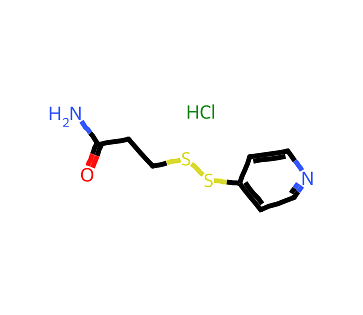 Cl.NC(=O)CCSSc1ccncc1